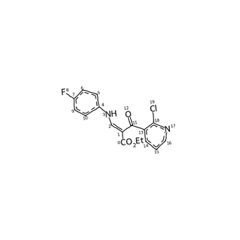 CCOC(=O)C(=CNc1ccc(F)cc1)C(=O)c1cccnc1Cl